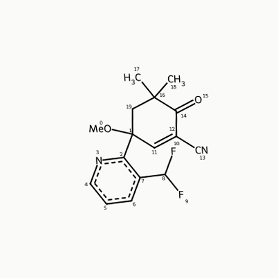 COC1(c2ncccc2C(F)F)C=C(C#N)C(=O)C(C)(C)C1